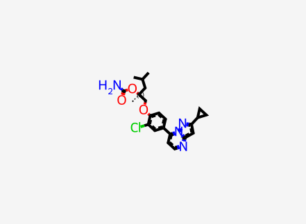 CC(C)C[C@@](C)(COc1ccc(-c2ccnc3cc(C4CC4)nn23)cc1Cl)OC(N)=O